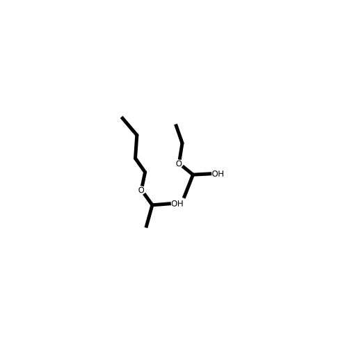 CCCCOC(C)O.CCOC(C)O